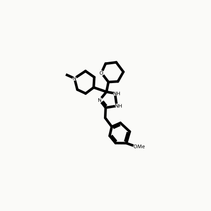 COc1ccc(CC2=NC(C3CCN(C)CC3)(C3CCCCO3)NN2)cc1